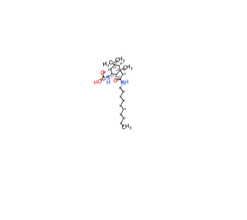 CCCCCCCCCCNC(=O)CC1(C)CC(NC(=O)O)CC(C)(C)C1